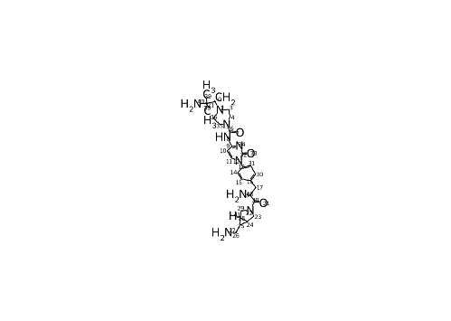 C=C(N1CCN(C(=O)Nc2ccn(-c3ccc(C[C@H](N)C(=O)N4CC5[C@@H](CN)[C@@H]5C4)cc3)c(=O)n2)CC1)C(C)(C)N